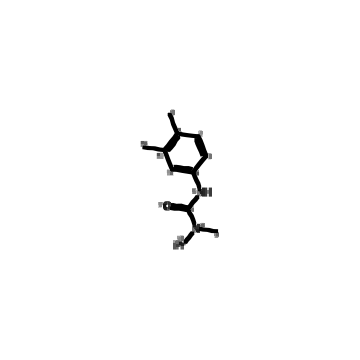 Cc1ccc(NC(=O)N(C)C(C)C)cc1C